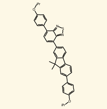 CC(C)Oc1ccc(-c2ccc3c(c2)C(C)(C)c2cc(-c4ccc(-c5ccc(OC(C)C)cc5)c5nsnc45)ccc2-3)cc1